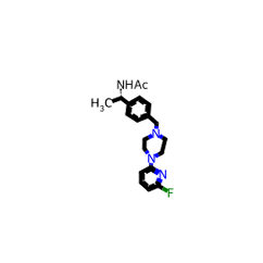 CC(=O)N[C@@H](C)c1ccc(CN2CCN(c3cccc(F)n3)CC2)cc1